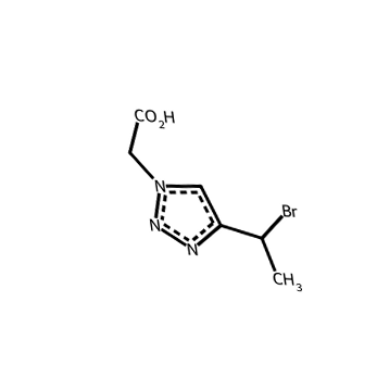 CC(Br)c1cn(CC(=O)O)nn1